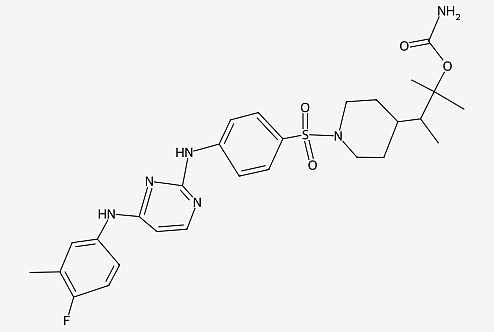 Cc1cc(Nc2ccnc(Nc3ccc(S(=O)(=O)N4CCC(C(C)C(C)(C)OC(N)=O)CC4)cc3)n2)ccc1F